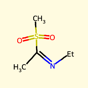 CCN=C(C)S(C)(=O)=O